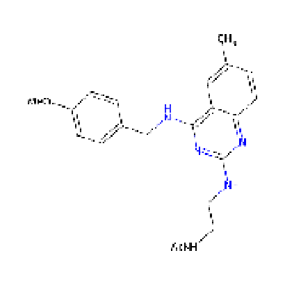 COc1ccc(CNc2nc(NCCNC(C)=O)nc3ccc(C)cc23)cc1